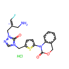 Cl.NC/C(=C\F)Cn1ncn(Cc2ccc(N3C(=O)OCc4ccccc43)s2)c1=O